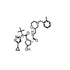 Cc1ccccc1CN1CCOC(CNC(=O)[C@@H]2C[C@@H](O)CN2C(=O)[C@@H](n2cc(C3CC3)nn2)C(C)(C)C)C1